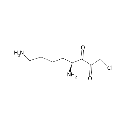 NCCCC[C@H](N)C(=O)C(=O)CCl